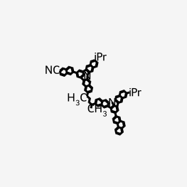 CC(C)c1ccc2cc3c(cc2c1)c1cc(-c2ccc4cc(C#N)ccc4c2)cc2c4cc5cc(C(C)CCC(C)c6ccc7cc8c(cc7c6)c6cc(-c7ccc9c(ccc%10ccccc%109)c7)cc7c9cc%10cc(C(C)C)ccc%10cc9n8c76)ccc5cc4n3c12